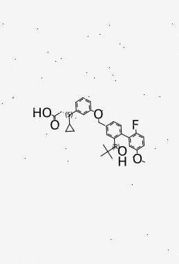 COc1ccc(F)c(-c2ccc(COc3cccc([C@@H](CC(=O)O)C4CC4)c3)cc2[C@H](O)C(C)(C)C)c1